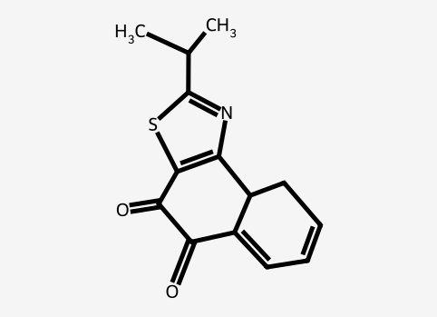 CC(C)c1nc2c(s1)C(=O)C(=O)C1=CC=CCC12